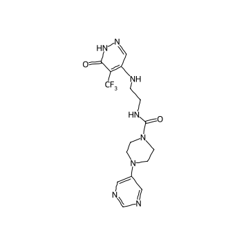 O=C(NCCNc1cn[nH]c(=O)c1C(F)(F)F)N1CCN(c2cncnc2)CC1